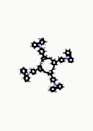 c1ccc2c(c1)c1ccccc1n2-c1ccc(-c2cc3cc(c2)Cc2cc(cc(-c4ccc(-n5c6ccccc6c6ccccc65)cc4)c2)Cc2cc(cc(-c4ccc(-n5c6ccccc6c6ccccc65)cc4)c2)Cc2cc(cc(-c4ccc(-n5c6ccccc6c6ccccc65)cc4)c2)C3)cc1